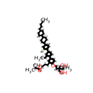 C=C(C)C(=O)OCCCc1cc(-c2ccc(-c3ccc(C4CCC(C5CCC(CCCCC)CC5)CC4)cc3F)cc2CC)ccc1OCCC(CC)(CO)CO